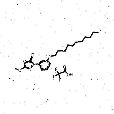 CCCCCCCCCCCNc1cccc(-n2nc(OC)oc2=O)c1.O=C(O)C(F)(F)F